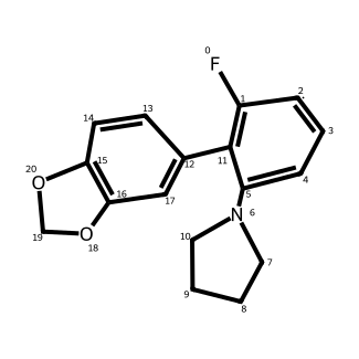 Fc1[c]ccc(N2CCCC2)c1-c1ccc2c(c1)OCO2